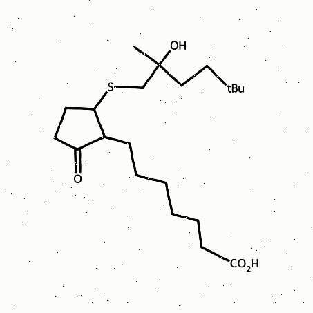 CC(C)(C)CCC(C)(O)CSC1CCC(=O)C1CCCCCCC(=O)O